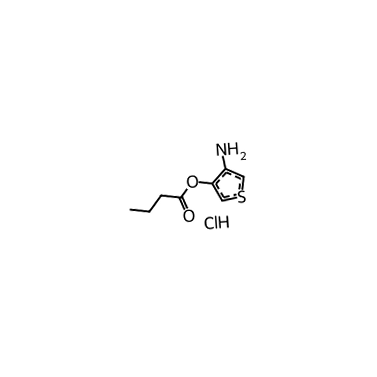 CCCC(=O)Oc1cscc1N.Cl